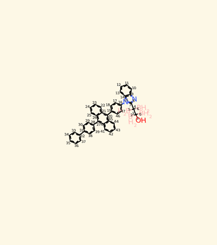 BC(B)(O)C(B)(B)c1nc2ccccc2n1-c1ccc(-c2c3ccccc3c(-c3ccc(-c4ccccc4)cc3)c3ccccc23)cc1